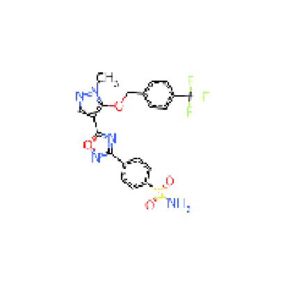 Cn1ncc(-c2nc(-c3ccc(S(N)(=O)=O)cc3)no2)c1OCc1ccc(C(F)(F)F)cc1